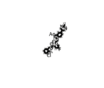 CC(=O)c1nn(CC(=O)N2C[C@H](F)C[C@H]2C(=O)OCc2cccc(Cl)c2F)c2ccc(-c3cnc(C)nc3)cc12